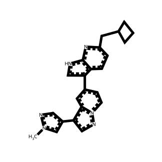 Cn1cc(-c2cnn3ccc(-c4c[nH]c5nc(CC6CCC6)ccc45)cc23)cn1